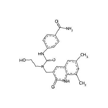 Cc1cc(C)c2[nH]c(=O)c(CN(CCO)C(=O)Nc3ccc(C(N)=O)cc3)cc2c1